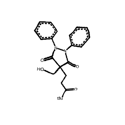 CC(C)(C)C(=O)CCC1(CO)C(=O)N(c2ccccc2)N(c2ccccc2)C1=O